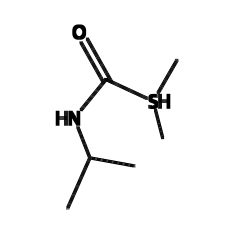 CC(C)NC(=O)[SH](C)C